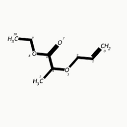 C=CCOC(C)C(=O)OCC